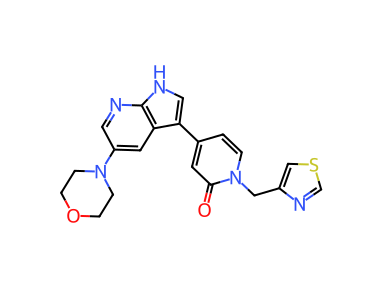 O=c1cc(-c2c[nH]c3ncc(N4CCOCC4)cc23)ccn1Cc1cscn1